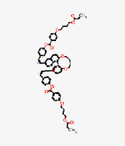 C=CC(=O)OCCCCOc1ccc(C(=O)Oc2ccc(/C=C\c3ccc4c5c(ccc4c3)OCCCCOc3ccc4cc(/C=C\c6ccc(OC(=O)c7ccc(OCCCCOC(=O)C=C)cc7)cc6)ccc4c3-5)cc2)cc1